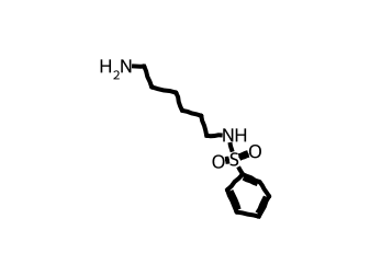 NCCCCCCNS(=O)(=O)c1ccccc1